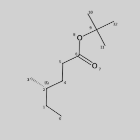 CC[C@H](C)CCC(=O)OC(C)(C)C